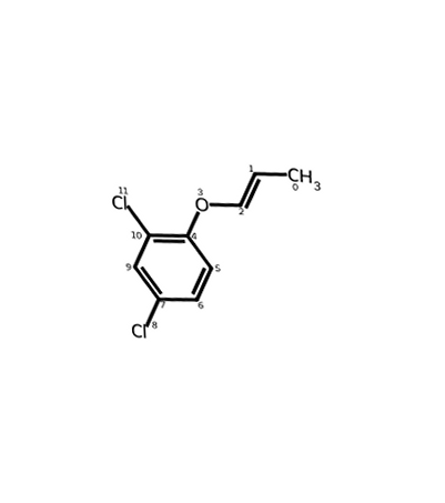 CC=COc1ccc(Cl)cc1Cl